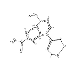 COc1ncc(C2=CCOCC2)c2sc(C(N)=O)nc12